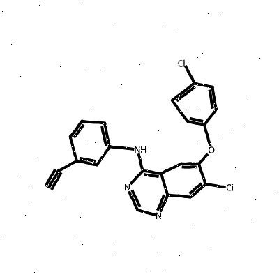 C#Cc1cccc(Nc2ncnc3cc(Cl)c(Oc4ccc(Cl)cc4)cc23)c1